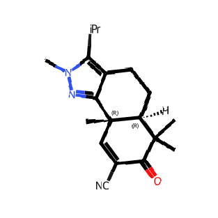 CC(C)c1c2c(nn1C)[C@@]1(C)C=C(C#N)C(=O)C(C)(C)[C@@H]1CC2